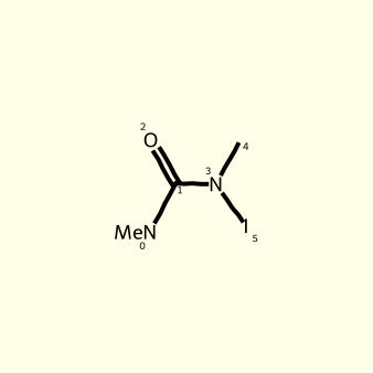 CNC(=O)N(C)I